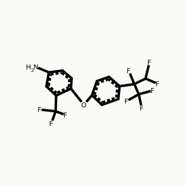 Nc1ccc(Oc2ccc(C(F)(C(F)F)C(F)(F)F)cc2)c(C(F)(F)F)c1